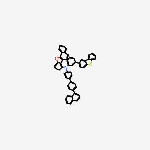 C1=c2oc3c(ccc4ccccc43)c2=C(N(c2ccc(-c3ccc(-c4cccc5ccccc45)cc3)cc2)c2cccc(-c3ccc4sc5ccccc5c4c3)c2)CC1